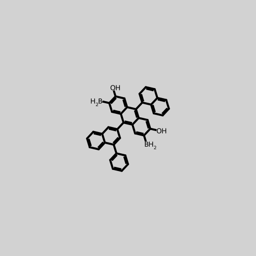 Bc1cc2c(-c3cc(-c4ccccc4)c4ccccc4c3)c3cc(B)c(O)cc3c(-c3cccc4ccccc34)c2cc1O